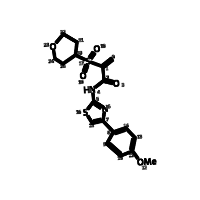 C=C(C(=O)Nc1nc(-c2ccc(OC)cc2)cs1)S(=O)(=O)C1CCOCC1